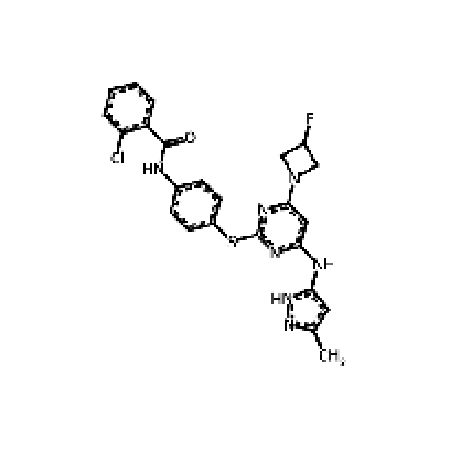 Cc1cc(Nc2cc(N3CC(F)C3)nc(Sc3ccc(NC(=O)c4ccccc4Cl)cc3)n2)[nH]n1